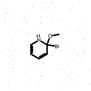 COC1(Br)C=CC=CN1